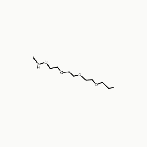 CCCOCCOCCOCCOPI